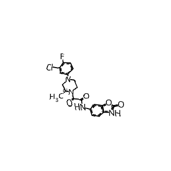 C[C@H]1CN(c2ccc(F)c(Cl)c2)CCN1C(=O)C(=O)Nc1ccc2[nH]c(=O)oc2c1